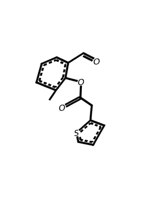 Cc1cccc(C=O)c1OC(=O)Cc1cccs1